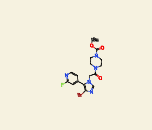 CC(C)(C)OC(=O)N1CCN(C(=O)Cn2cnc(Br)c2-c2ccnc(F)c2)CC1